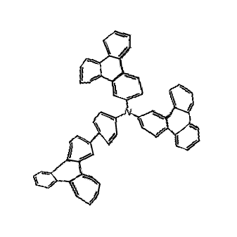 c1ccc2c(c1)c1ccccc1c1cc(-c3ccc(N(c4ccc5c6ccccc6c6ccccc6c5c4)c4ccc5c6ccccc6c6ccccc6c5c4)cc3)ccc21